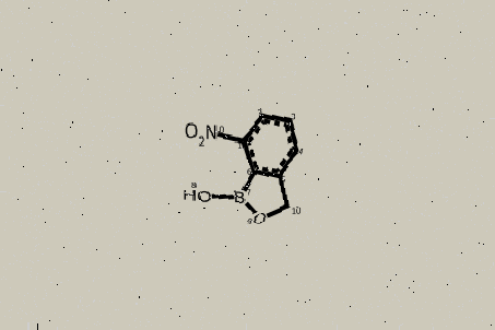 O=[N+]([O-])c1cccc2c1B(O)OC2